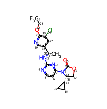 C[C@H](Nc1nccc(N2C(=O)OC[C@@H]2C2CC2)n1)c1cnc(OCC(F)(F)F)c(Cl)c1